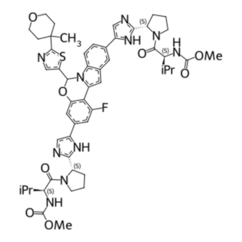 COC(=O)N[C@H](C(=O)N1CCC[C@H]1c1ncc(-c2cc(F)c3c(c2)OC(c2cnc(C4(C)CCOCC4)s2)n2c-3cc3cc(-c4cnc([C@@H]5CCCN5C(=O)[C@@H](NC(=O)OC)C(C)C)[nH]4)ccc32)[nH]1)C(C)C